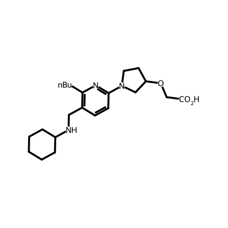 CCCCc1nc(N2CCC(OCC(=O)O)C2)ccc1CNC1CCCCC1